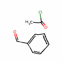 CC(=O)Cl.O=Cc1ccccc1